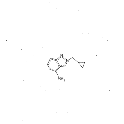 Nc1cccc2nn(CC3CC3)cc12